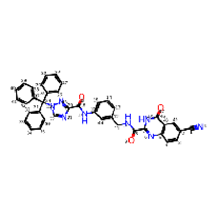 N#Cc1ccc2nc(C(=O)NCc3cccc(NC(=O)c4ncn(C(c5ccccc5)(c5ccccc5)c5ccccc5)n4)c3)[nH]c(=O)c2c1